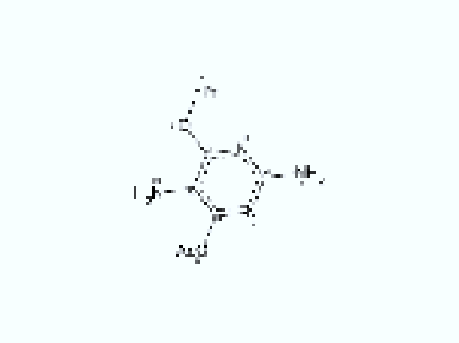 CCCOc1nc(N)nc(OC(C)=O)c1N